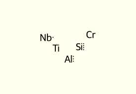 [Al].[Cr].[Nb].[Si].[Ti]